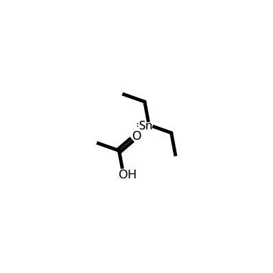 CC(=O)O.C[CH2][Sn][CH2]C